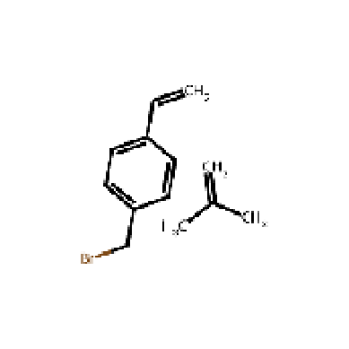 C=C(C)C.C=Cc1ccc(CBr)cc1